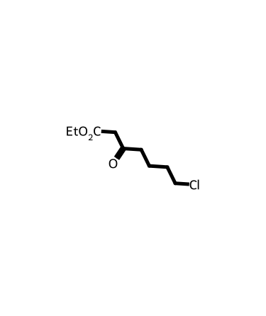 CCOC(=O)CC(=O)CCCCCl